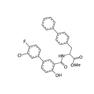 COC(=O)C(Cc1ccc(-c2ccccc2)cc1)NC(=O)c1cc(-c2ccc(F)c(Cl)c2)ccc1O